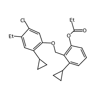 CCC(=O)Oc1cccc(C2CC2)c1COc1cc(Cl)c(CC)cc1C1CC1